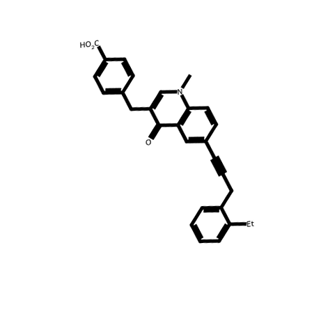 CCc1ccccc1CC#Cc1ccc2c(c1)c(=O)c(Cc1ccc(C(=O)O)cc1)cn2C